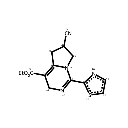 CCOC(=O)C1=C2CC(C#N)CN2C(c2nccs2)=NC1